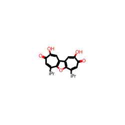 CC(C)c1cc(=O)c(O)cc2c1oc1c(C(C)C)cc(=O)c(O)cc12